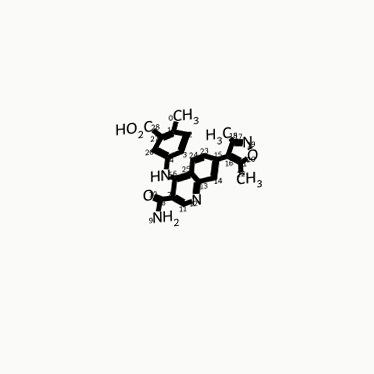 Cc1ccc(Nc2c(C(N)=O)cnc3cc(-c4c(C)noc4C)ccc23)cc1C(=O)O